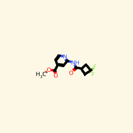 COC(=O)c1ccnc(NC(=O)C2CC(F)(F)C2)c1